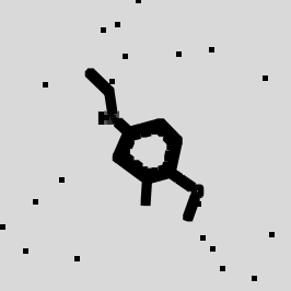 CCNc1ccc(OC)c(C)c1